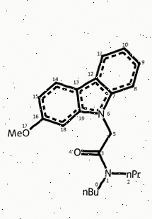 CCCCN(CCC)C(=O)Cn1c2ccccc2c2ccc(OC)cc21